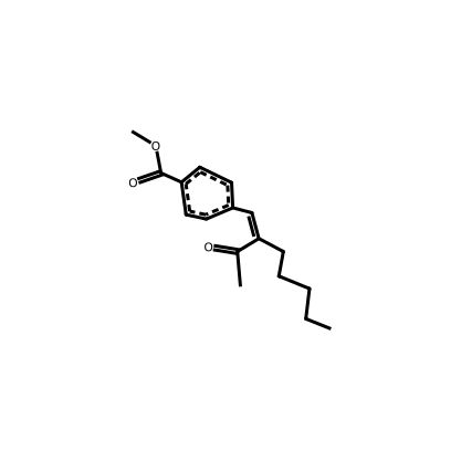 CCCCCC(=Cc1ccc(C(=O)OC)cc1)C(C)=O